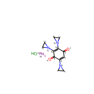 Cl.O=C1C=C(N2CC2)C(=O)C(N2CC2)=C1N1CC1.P